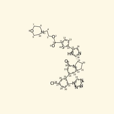 O=C(OCCN1CCOCC1)c1ccc(-c2cnc([C@@H]3CCc4cc(-c5cc(Cl)ccc5-n5cnnn5)cc(=O)n43)[nH]2)s1